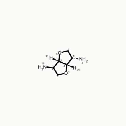 N[C@@H]1CO[C@@H]2[C@H]1OC[C@@H]2N